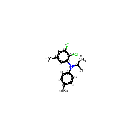 Cc1cc(Cl)c(Cl)c(N(c2ccc(C(C)(C)C)cc2)C(C)C(C)C)c1